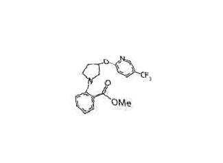 COC(=O)c1ccccc1N1CCC(Oc2ccc(C(F)(F)F)cn2)C1